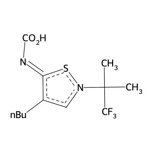 CCCCc1cn(C(C)(C)C(F)(F)F)sc1=NC(=O)O